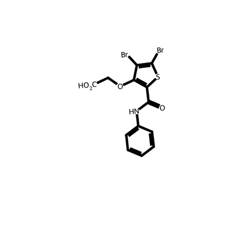 O=C(O)COc1c(C(=O)Nc2ccccc2)sc(Br)c1Br